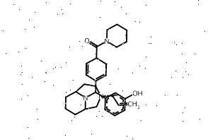 C=CCN1CCC2CCCC(C1)N2C(C1=CCC(C(=O)N2CCCCC2)C=C1)c1cccc(O)c1